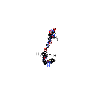 Cc1cc(OCCCN2CCN(CC(=O)N3CCN(c4cccc5c(C6CCC(=O)NC6=O)nn(C)c45)CC3)CC2)ccc1-c1ccc(N2CCc3cccc(C(=O)Nc4nc5ccccc5s4)c3C2)nc1C(=O)O